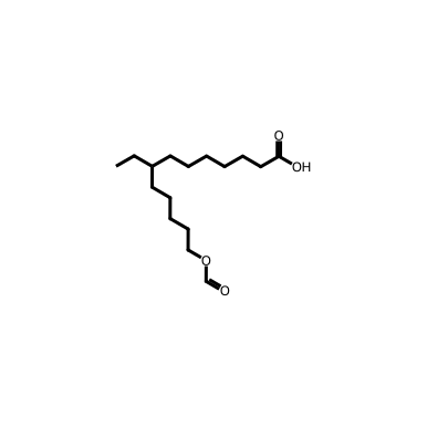 CCC(CCCCCCC(=O)O)CCCCCOC=O